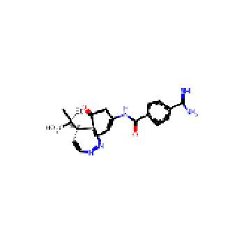 CC[C@@](C)(C(=O)O)[C@H]1C=CN=NC2=C1C(=O)CC(NC(=O)c1ccc(C(=N)N)cc1)=C2